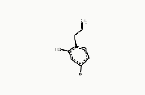 C=CCc1ccc(Br)cc1O